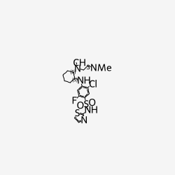 CNCCN(C)[C@H]1CCCC[C@@H]1Nc1cc(F)c(S(=O)(=O)Nc2nccs2)cc1Cl